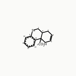 O=C(O)C12CC=CCC1CSc1ccccc12